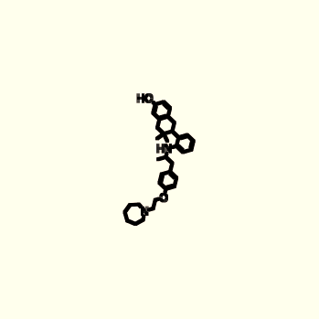 CC(Cc1ccc(OCCN2CCCCCC2)cc1)Nc1ccccc1C1Cc2ccc(O)cc2CC1(C)C